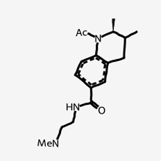 CNCCNC(=O)c1ccc2c(c1)CC(C)[C@H](C)N2C(C)=O